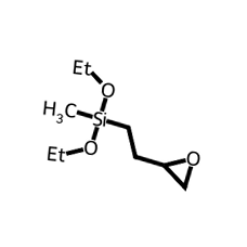 CCO[Si](C)(CCC1CO1)OCC